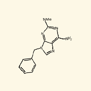 CNc1nc(N)c2ncn(Cc3ccccc3)c2n1